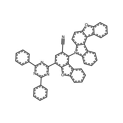 N#Cc1cc(-c2nc(-c3ccccc3)nc(-c3ccccc3)n2)c2oc3ccccc3c2c1-n1c2ccccc2c2c3c(ccc21)oc1ccccc13